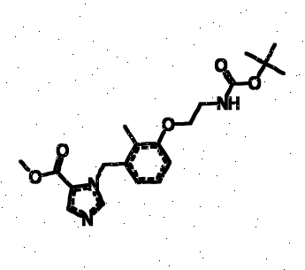 COC(=O)c1cncn1Cc1cccc(OCCNC(=O)OC(C)(C)C)c1C